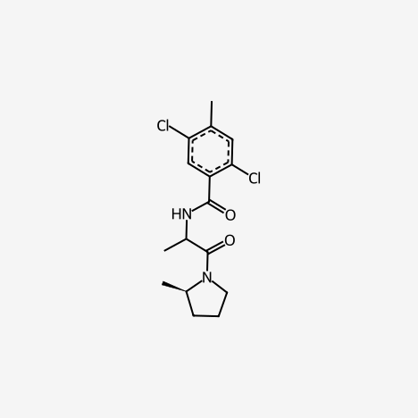 Cc1cc(Cl)c(C(=O)NC(C)C(=O)N2CCC[C@H]2C)cc1Cl